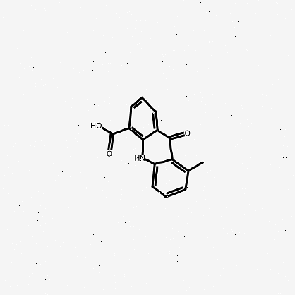 Cc1cccc2[nH]c3c(C(=O)O)cccc3c(=O)c12